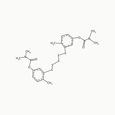 Cc1ccc(OC(=O)N(C)C)cc1SSSSSc1cc(OC(=O)N(C)C)ccc1C